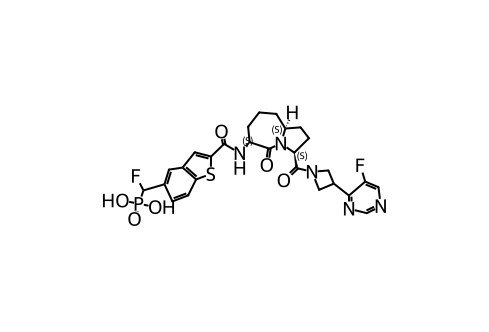 O=C(N[C@H]1CCC[C@H]2CC[C@@H](C(=O)N3CC(c4ncncc4F)C3)N2C1=O)c1cc2cc(C(F)P(=O)(O)O)ccc2s1